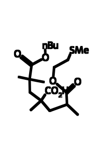 CCCCOC(=O)C(C)(C)CC(C)(CC(C)C(=O)OCCSC)C(=O)O